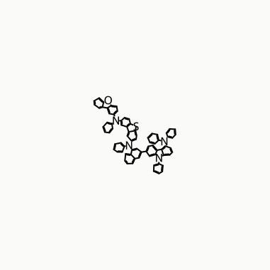 c1ccc(N(c2ccc3oc4ccccc4c3c2)c2ccc3sc4ccc(N(c5ccccc5)c5cc(-c6ccc7c8c(N(c9ccccc9)c9ccccc9)cccc8n(-c8ccccc8)c7c6)cc6ccccc56)cc4c3c2)cc1